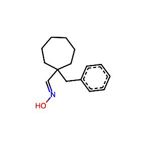 ON=CC1(Cc2ccccc2)CCCCCC1